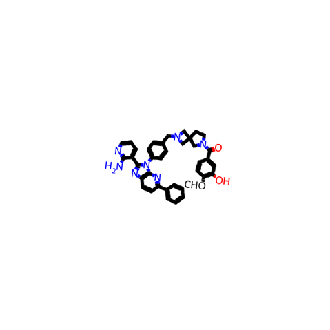 Nc1ncccc1-c1nc2ccc(-c3ccccc3)nc2n1-c1ccc(CN2CC3(CCN(C(=O)c4ccc(C=O)c(O)c4)C3)C2)cc1